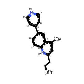 CC(C)CCc1cc(C#N)c2cc(-c3ccncc3)ccc2n1